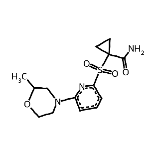 CC1CN(c2cccc(S(=O)(=O)C3(C(N)=O)CC3)n2)CCO1